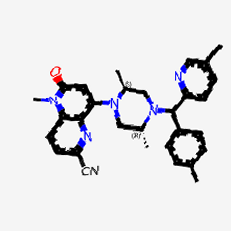 Cc1ccc(C(c2ccc(C)cn2)N2C[C@H](C)N(c3cc(=O)n(C)c4ccc(C#N)nc34)C[C@H]2C)cc1